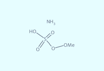 COOS(=O)(=O)O.N